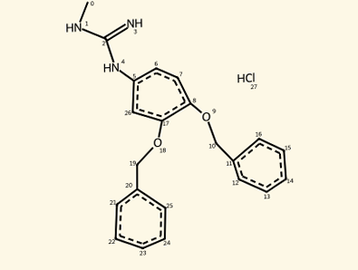 CNC(=N)Nc1ccc(OCc2ccccc2)c(OCc2ccccc2)c1.Cl